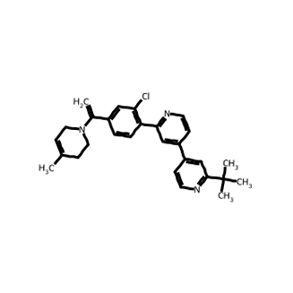 C=C(c1ccc(-c2cc(-c3ccnc(C(C)(C)C)c3)ccn2)c(Cl)c1)N1CC=C(C)CC1